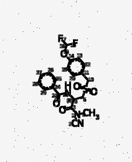 CN(C#N)C(=O)[C@H](CS(=O)(=O)Cc1ccc(OC(F)F)cc1)NC(=O)c1ccccc1